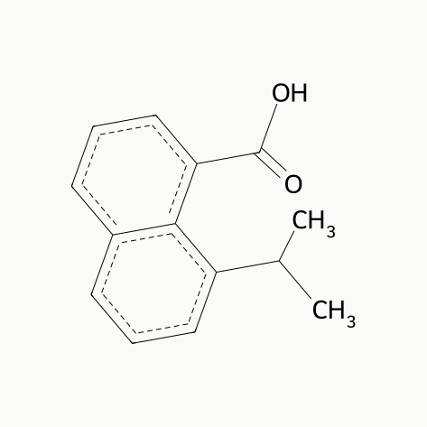 CC(C)c1cccc2cccc(C(=O)O)c12